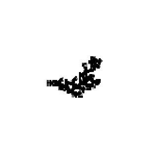 Cc1cc(/N=S(\C)O)cc2ncnc(Nc3ccc(F)cc3OC(C)Cn3ccnc3)c12